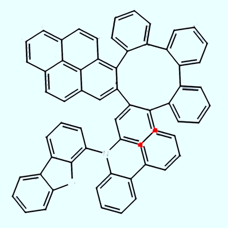 c1ccc(-c2ccccc2N(c2ccc3c4ccccc4c4ccccc4c4ccccc4c4c(cc5ccc6cccc7ccc4c5c67)c3c2)c2cccc3c2oc2ccccc23)cc1